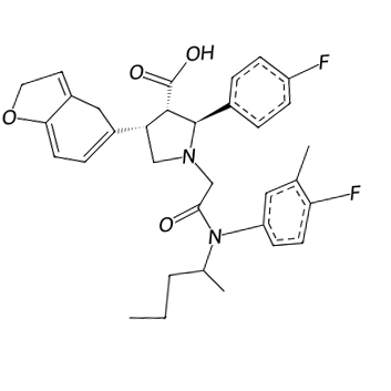 CCCC(C)N(C(=O)CN1C[C@H](C2=CC=C3OCC=C3C2)[C@H](C(=O)O)[C@H]1c1ccc(F)cc1)c1ccc(F)c(C)c1